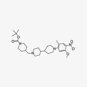 COc1cc(N2CCC(C3CCN(CC4CCN(C(=O)OC(C)(C)C)CC4)CC3)CC2)c(C)cc1[N+](=O)[O-]